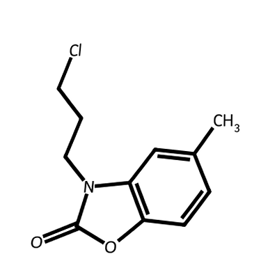 Cc1ccc2oc(=O)n(CCCCl)c2c1